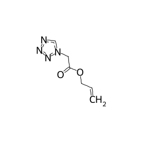 C=CCOC(=O)Cn1cnnn1